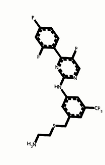 NCCSCc1cc(Nc2ncc(F)c(-c3ccc(F)cc3F)n2)cc(C(F)(F)F)c1